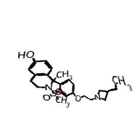 CCC1CN(CCOc2ccc(C3(C)c4ccc(O)cc4CCN3S(C)(=O)=O)cc2)C1